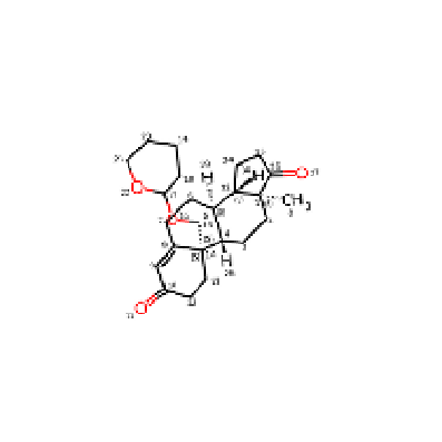 C[C@]12CC[C@H]3[C@@H](CCC4=CC(=O)CC[C@@]43COC3CCCCO3)[C@@H]1CCC2=O